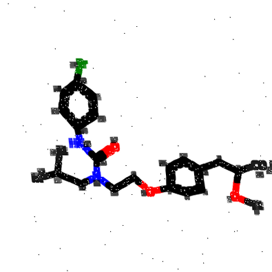 CCOC(Cc1ccc(OCCN(CC(CC)CC)C(=O)Nc2ccc(Br)cc2)cc1)C(=O)O